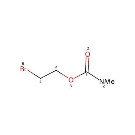 CNC(=O)OCCBr